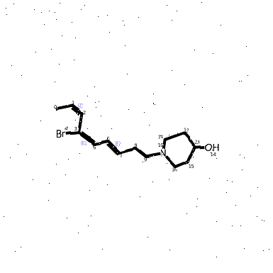 C\C=C/C(Br)=C\C=C\CCN1CCC(O)CC1